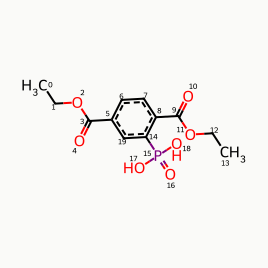 CCOC(=O)c1ccc(C(=O)OCC)c(P(=O)(O)O)c1